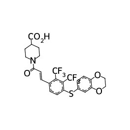 O=C(O)C1CCN(C(=O)C=Cc2ccc(Sc3ccc4c(c3)OCCO4)c(C(F)(F)F)c2C(F)(F)F)CC1